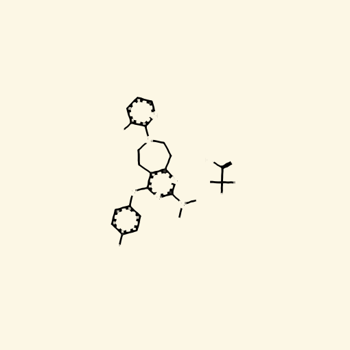 CN(C)c1nc2c(c(Nc3ccc(Cl)cc3)n1)CCN(c1ncccc1C(F)(F)F)CC2.O=C(O)C(F)(F)F